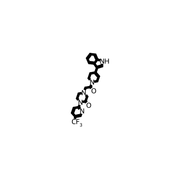 O=C(CN1CCN(c2ccc(C(F)(F)F)cn2)C(=O)C1)N1CC=C(c2c[nH]c3ccccc23)CC1